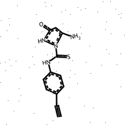 C#Cc1ccc(NC(=S)n2[nH]c(=O)cc2N)cc1